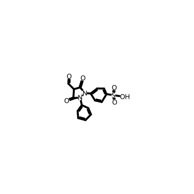 O=CC1C(=O)N(c2ccccc2)N(c2ccc(S(=O)(=O)O)cc2)C1=O